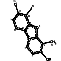 Cc1c(O)ccc2c1oc1c(I)c(Cl)ccc12